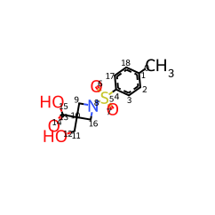 Cc1ccc(S(=O)(=O)N2CC(CO)(C(=O)O)C2)cc1